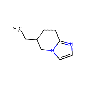 CCC1CCc2nccn2C1